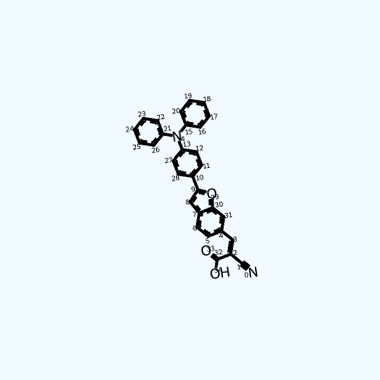 N#CC(=Cc1ccc2cc(-c3ccc(N(c4ccccc4)c4ccccc4)cc3)oc2c1)C(=O)O